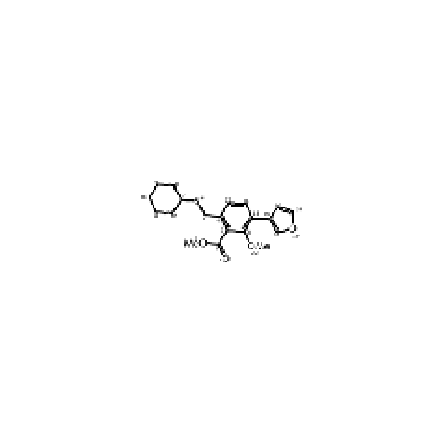 COC(=O)c1c(CSC2CCCCC2)ccc(-c2ccoc2)c1OC